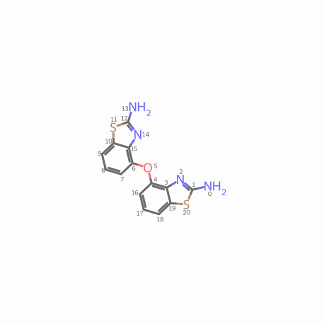 Nc1nc2c(Oc3cccc4sc(N)nc34)cccc2s1